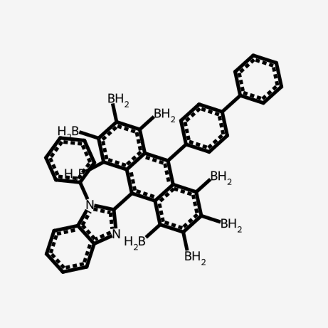 Bc1c(B)c(B)c2c(-c3nc4ccccc4n3-c3ccccc3)c3c(B)c(B)c(B)c(B)c3c(-c3ccc(-c4ccccc4)cc3)c2c1B